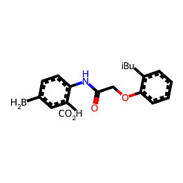 Bc1ccc(NC(=O)COc2ccccc2C(C)CC)c(C(=O)O)c1